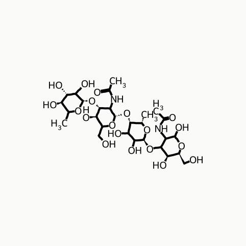 CC(=O)NC1C(O)O[C@@H](CO)[C@@H](O)C1O[C@@H]1O[C@@H](C)[C@@H](O[C@@H]2OC(CO)[C@@H](O)[C@H](O[C@@H]3OC(C)[C@@H](O)[C@H](O)C3O)C2NC(C)=O)C(O)C1O